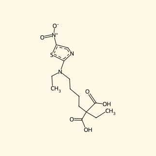 CCN(CCCCC(CC)(C(=O)O)C(=O)O)c1ncc([N+](=O)[O-])s1